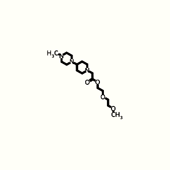 COCCOCCOC(=O)CN1CCC(N2CCN(C)CC2)CC1